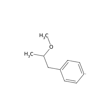 COC(C)Cc1cc[c]cc1